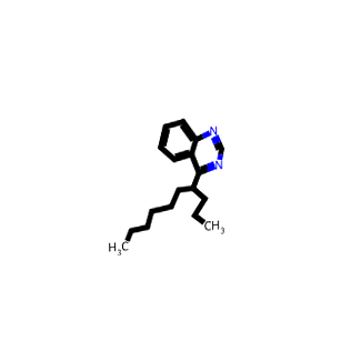 CCCCCCC(CCC)c1ncnc2ccccc12